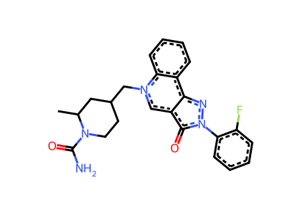 CC1CC(Cn2cc3c(=O)n(-c4ccccc4F)nc-3c3ccccc32)CCN1C(N)=O